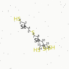 SCC[Se]CCSCC[Se]CC(S)(CS)CS